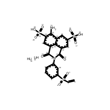 C=CS(=O)(=O)c1cccc(N2C(=O)c3cc(S(=O)(=O)O)cc4c(N)c(S(=O)(=O)O)cc(c34)C2=O)c1.[LiH].[LiH]